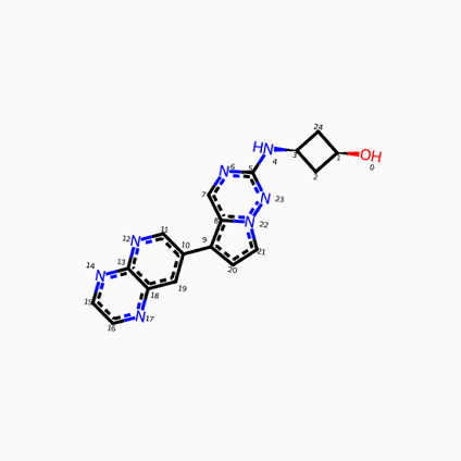 O[C@H]1C[C@@H](Nc2ncc3c(-c4cnc5nccnc5c4)ccn3n2)C1